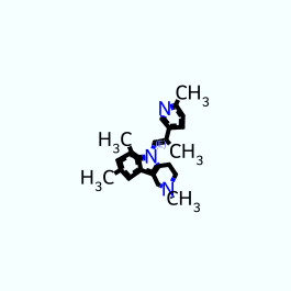 C/C(=C\n1c2c(c3cc(C)cc(C)c31)CN(C)CC2)c1ccc(C)nc1